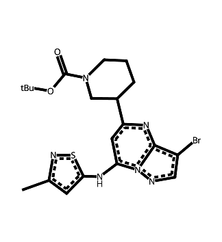 Cc1cc(Nc2cc(C3CCCN(C(=O)OC(C)(C)C)C3)nc3c(Br)cnn23)sn1